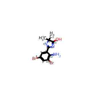 CC1(C)N=C(c2cc(Br)cc(Br)c2N)N=C1O